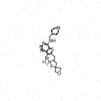 N[C@H](Cc1sc2c(NCc3ccncc3)nnnc2c1Br)CC1(F)COC1